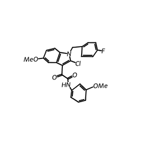 COc1cccc(NC(=O)C(=O)c2c(Cl)n(Cc3ccc(F)cc3)c3ccc(OC)cc23)c1